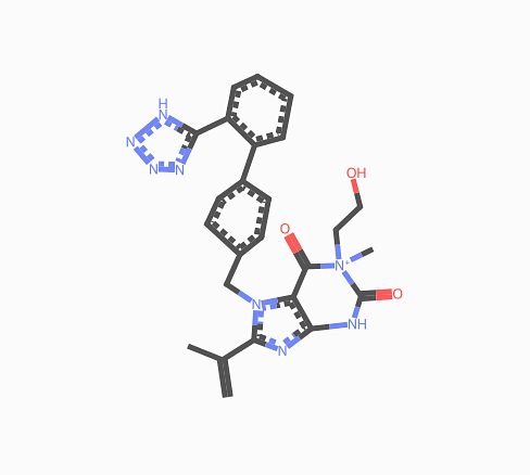 C=C(C)c1nc2c(n1Cc1ccc(-c3ccccc3-c3nnn[nH]3)cc1)C(=O)[N+](C)(CCO)C(=O)N2